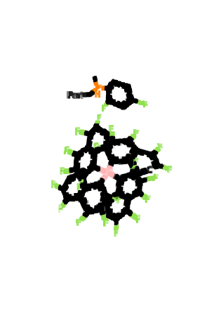 CCCC(C)C[PH+](C)c1ccc(F)cc1F.Fc1ccc2c([B-](c3c(F)c(F)c(F)c4c(F)c(F)ccc34)(c3c(F)c(F)c(F)c4c(F)c(F)ccc34)c3c(F)c(F)c(F)c4c(F)c(F)ccc34)c(F)c(F)c(F)c2c1F